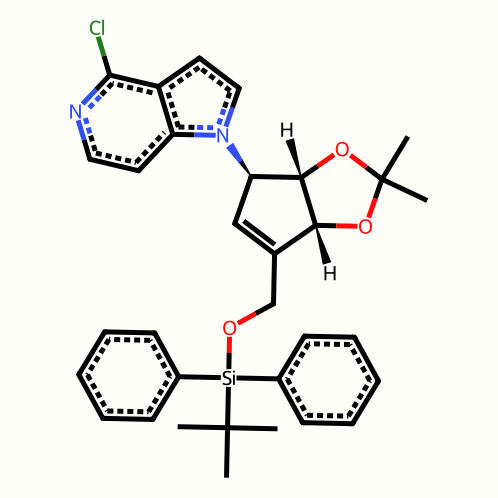 CC1(C)O[C@@H]2[C@H](O1)C(CO[Si](c1ccccc1)(c1ccccc1)C(C)(C)C)=C[C@H]2n1ccc2c(Cl)nccc21